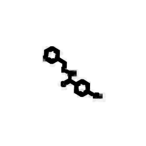 CC(C)(C)c1ccc(C(=O)NN=Cc2cccnc2)cc1